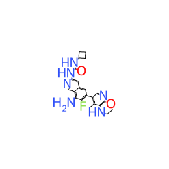 Cc1c(-c2cc3cc(NC(=O)NC4CCC4)ncc3c(N)c2F)cnc2c1NCCO2